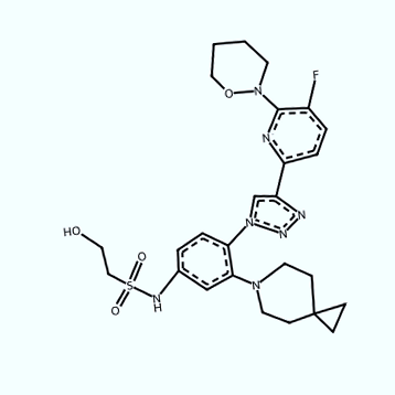 O=S(=O)(CCO)Nc1ccc(-n2cc(-c3ccc(F)c(N4CCCCO4)n3)nn2)c(N2CCC3(CC2)CC3)c1